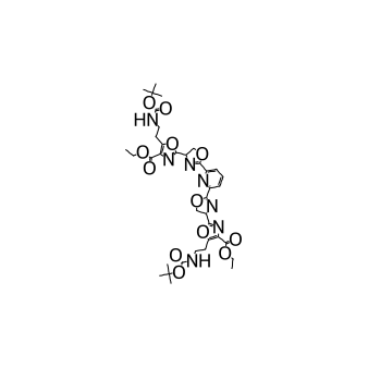 CCOC(=O)c1nc(C2COC(c3cccc(C4=NC(c5nc(C(=O)OCC)c(CCNC(=O)OC(C)(C)C)o5)CO4)n3)=N2)oc1CCNC(=O)OC(C)(C)C